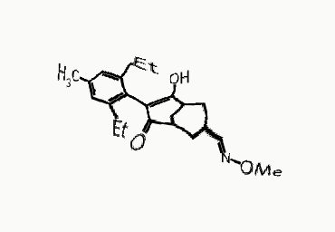 CCc1cc(C)cc(CC)c1C1=C(O)C2CC(/C=N/OC)CC2C1=O